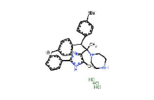 Cc1[nH]c(-c2ccccc2)nc1C(C)(C(c1ccc(C(C)(C)C)cc1)c1ccc(C(C)(C)C)cc1)N1CCNCC1.Cl.Cl.Cl